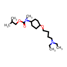 CCN(CC)CCCCOC1CCC(N(C)C(=O)OCC(C)C)CC1